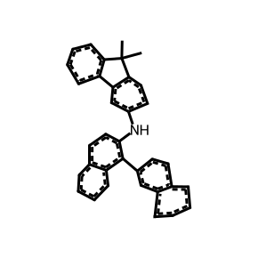 CC1(C)c2ccccc2-c2cc(Nc3ccc4ccccc4c3-c3ccc4ccccc4c3)ccc21